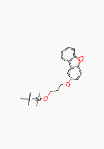 CC(C)(C)[Si](C)(C)OCCCOc1ccc2oc3ccccc3c2c1